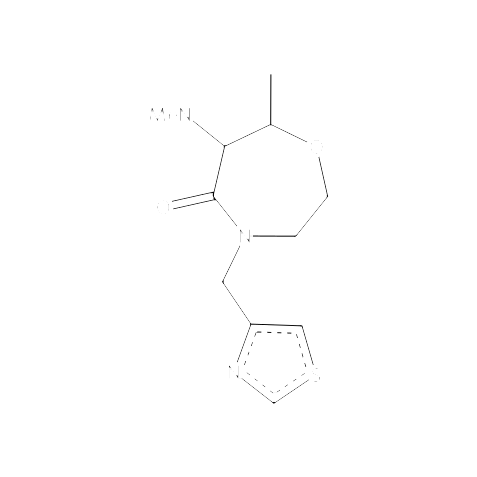 CNC1C(=O)N(Cc2cscn2)CCOC1C